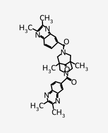 Cc1nc2ccc(C(=O)N3CC4(C)CN(C(=O)c5ccc6nc(C)c(C)nc6c5)CC(C)(C3)C4=O)cc2nc1C